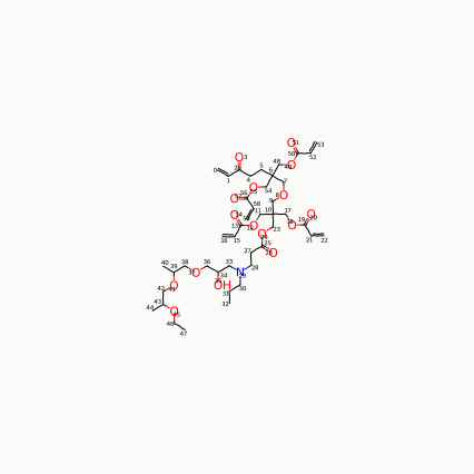 C=CC(=O)CCC(COCC(COC(=O)C=C)(COC(=O)C=C)COC(=O)CCN(CCC)CC(O)COCC(C)OCC(C)OCC)(COC(=O)C=C)COC(=O)C=C